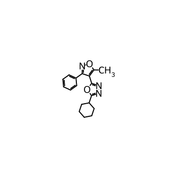 Cc1onc(-c2ccccc2)c1-c1nnc(C2CCCCC2)o1